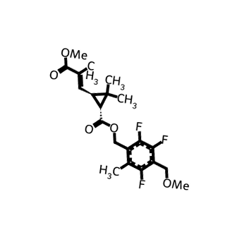 COCc1c(F)c(C)c(COC(=O)[C@@H]2[C@@H](/C=C(\C)C(=O)OC)C2(C)C)c(F)c1F